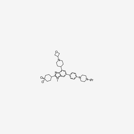 CC(C)N1CCN(c2ccc(-c3cc(C4CCN(C5COC5)CC4)c4nc(C5CCS(=O)(=O)CC5)n(C)c4c3)cc2)CC1